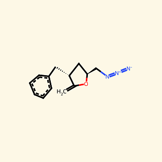 C=C1O[C@H](CN=[N+]=[N-])C[C@H]1Cc1ccccc1